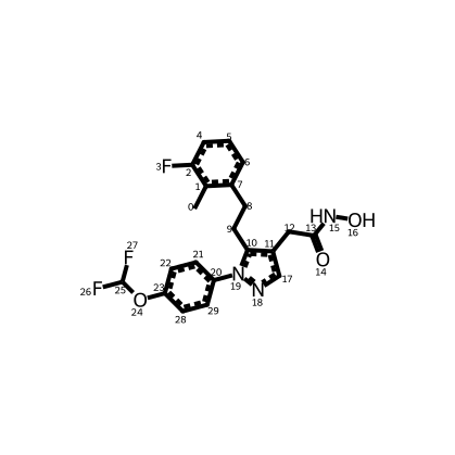 Cc1c(F)cccc1CCc1c(CC(=O)NO)cnn1-c1ccc(OC(F)F)cc1